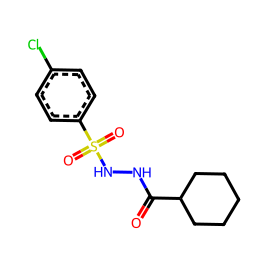 O=C(NNS(=O)(=O)c1ccc(Cl)cc1)C1CCCCC1